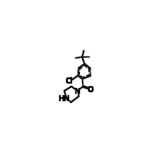 CC(C)(C)c1ccc(C(=O)N2CCNCC2)c(Cl)c1